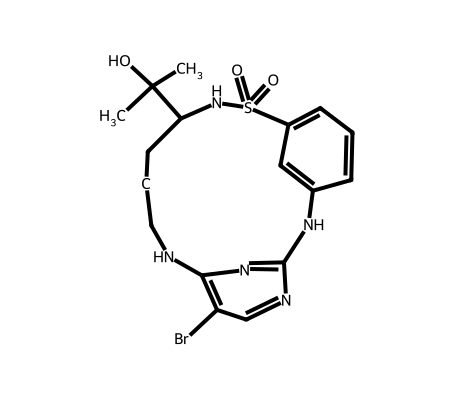 CC(C)(O)C1CCCNc2nc(ncc2Br)Nc2cccc(c2)S(=O)(=O)N1